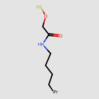 CC(C)CCCCNC(=O)COS